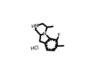 Cc1ccc2c(c1F)N1C(C)CNCC1C2.Cl